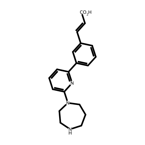 O=C(O)C=Cc1cccc(-c2cccc(N3CCCNCC3)n2)c1